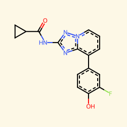 O=C(Nc1nc2c(-c3ccc(O)c(F)c3)cccn2n1)C1CC1